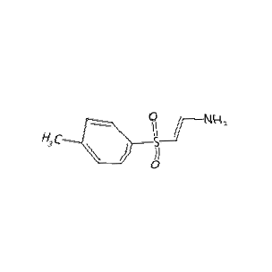 Cc1ccc(S(=O)(=O)C=CN)cc1